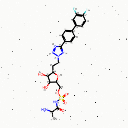 CCC(C)C(N)C(=O)NS(=O)(=O)OCC1OC(CCn2nnc(-c3ccc(-c4ccc(F)c(F)c4)cc3)n2)C(O)C1O